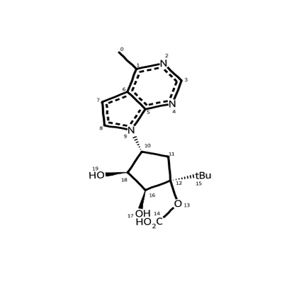 Cc1ncnc2c1ccn2[C@@H]1C[C@](OC(=O)O)(C(C)(C)C)[C@@H](O)[C@H]1O